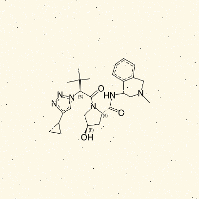 CN1Cc2ccccc2C(NC(=O)[C@@H]2C[C@@H](O)CN2C(=O)[C@@H](n2cc(C3CC3)nn2)C(C)(C)C)C1